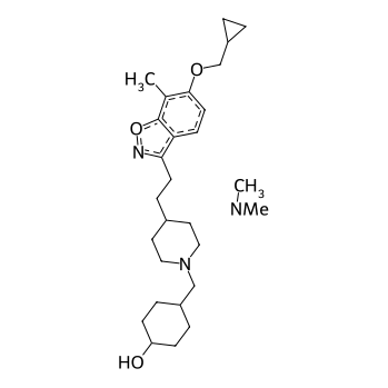 CNC.Cc1c(OCC2CC2)ccc2c(CCC3CCN(CC4CCC(O)CC4)CC3)noc12